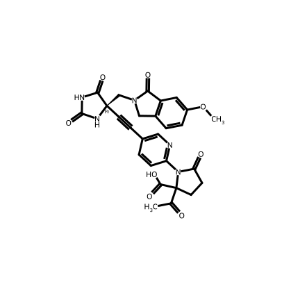 COc1ccc2c(c1)C(=O)N(C[C@@]1(C#Cc3ccc(N4C(=O)CCC4(C(C)=O)C(=O)O)nc3)NC(=O)NC1=O)C2